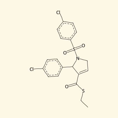 CCSC(=O)C1=CCN(S(=O)(=O)c2ccc(Cl)cc2)C1c1ccc(Cl)cc1